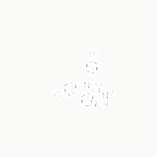 CONC(=O)c1ncccc1N(Cc1ccc(OC)cc1)Cc1ccc(OC)cc1